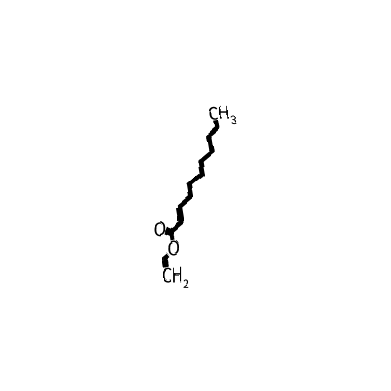 C=COC(=O)C=CCCCCCCCC